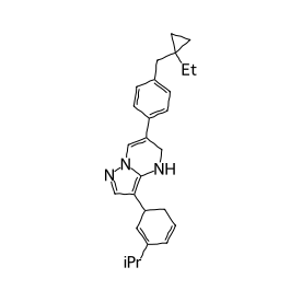 CCC1(Cc2ccc(C3=Cn4ncc(C5C=C(C(C)C)C=CC5)c4NC3)cc2)CC1